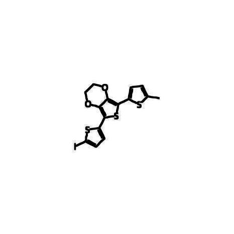 Cc1ccc(-c2sc(-c3ccc(I)s3)c3c2OCCO3)s1